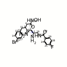 N/C(=C\N(N)C(CC(=O)NO)Cc1ccc(Br)cc1)CNC(=O)c1ccc(F)cc1